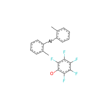 Cc1cccc[c]1[Al+][c]1ccccc1C.[O-]c1c(F)c(F)c(F)c(F)c1F